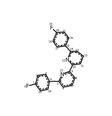 Fc1ccc(-c2cccc(-c3cccc(-c4ccc(F)cc4)n3)n2)cc1